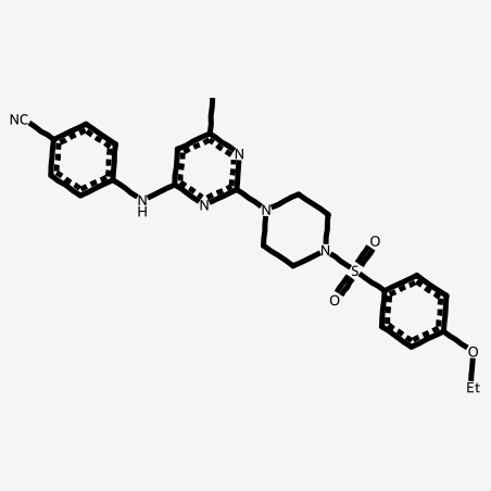 CCOc1ccc(S(=O)(=O)N2CCN(c3nc(C)cc(Nc4ccc(C#N)cc4)n3)CC2)cc1